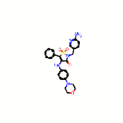 Nc1ccc(CN2C(=O)C(Nc3ccc(N4CCOCC4)cc3)=C(c3ccccc3)S2(=O)=O)cn1